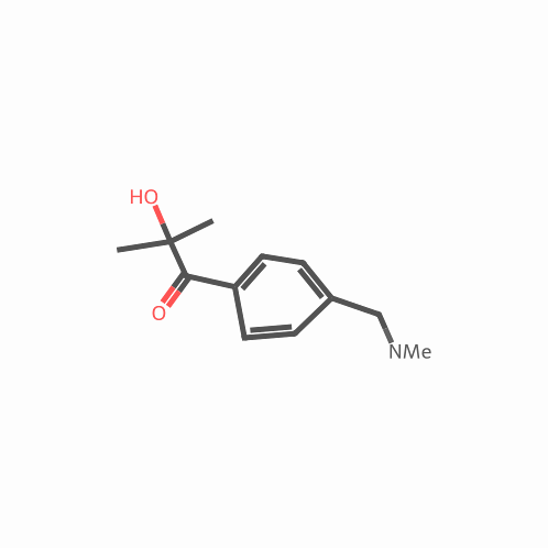 CNCc1ccc(C(=O)C(C)(C)O)cc1